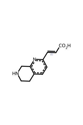 O=C(O)/C=C/c1ccc2c(n1)CNCC2